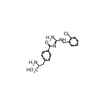 N/C(=N\C(=O)c1ccc(C[C@H](N)C(=O)O)cc1)NCc1ccccc1Cl